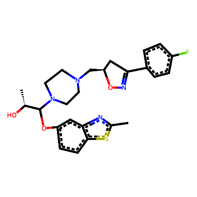 Cc1nc2cc(OC([C@@H](C)O)N3CCN(C[C@H]4CC(c5ccc(F)cc5)=NO4)CC3)ccc2s1